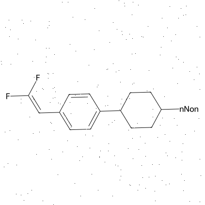 CCCCCCCCCC1CCC(c2ccc(C=C(F)F)cc2)CC1